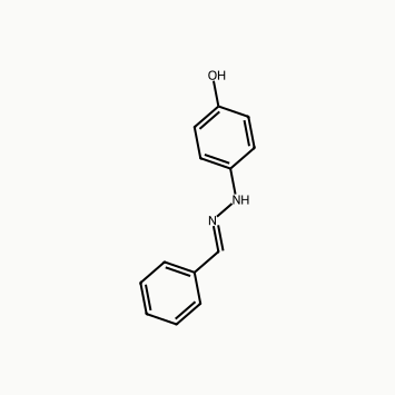 Oc1ccc(NN=Cc2ccccc2)cc1